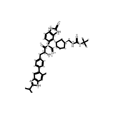 Cc1cc2[nH]c(C(C)C)nc2cc1-c1ccc(C[C@H](N)C(=O)N(c2ccc3[nH]c(=O)[nH]c3c2)C(=O)[C@H]2CC[C@H](CNC(=O)OC(C)(C)C)CC2)cc1